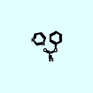 CC[PH](=O)Oc1ccccc1.c1cncnc1